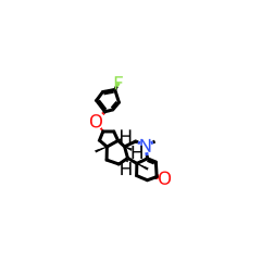 CN1C[C@H]2[C@@H]3C[C@H](Oc4ccc(F)cc4)C[C@@]3(C)CC[C@@H]2[C@@]2(C)CCC(=O)C=C12